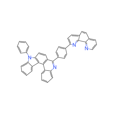 c1ccc(-n2c3ccccc3c3c4c(ccc32)c(-c2ccc(-c3ccc5ccc6cccnc6c5n3)cc2)nc2ccccc24)cc1